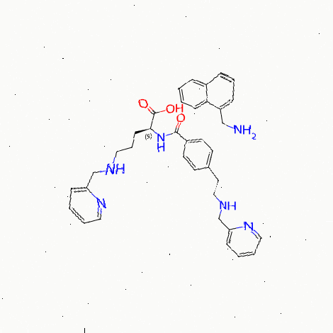 NCc1cccc2ccccc12.O=C(N[C@@H](CCCNCc1ccccn1)C(=O)O)c1ccc(CCNCc2ccccn2)cc1